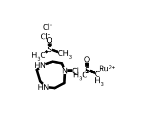 CS(C)=O.CS(C)=O.ClN1CCNCCNCC1.[Cl-].[Cl-].[Ru+2]